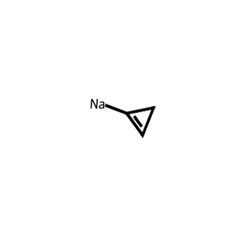 [Na][C]1=CC1